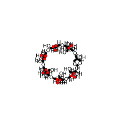 OC[C@@H]1O[C@H]2OC3(O)CO[C@@H](O[C@]4(O)CO[C@@H](O[C@@H]5[C@H](O)[C@H](O)[C@@H](O[C@H]5CO)O[C@]5(O)CO[C@@H](O[C@@H]6[C@H](O)[C@H](O)[C@@H](O[C@@H]7[C@H](O)[C@H](O)C(O[C@@H]1[C@H](O)[C@@H]2O)O[C@H]7CO)O[C@H]6CO)O[C@H]5O)[C@@H](O)[C@H]4O)[C@@H](O)[C@H]3O